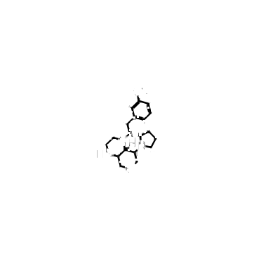 N#Cc1cccc(CC(=O)N2CCNC3COCC(N4CCCC4)[C@H]32)c1